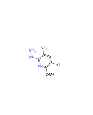 COc1nc(NN)c(C(F)(F)F)cc1Cl